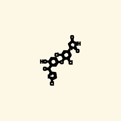 O=C1CN(c2cc(Cl)c(Oc3ccc(O)c(C(=O)c4ccc(Cl)s4)c3)c(Cl)c2)C(=O)N1